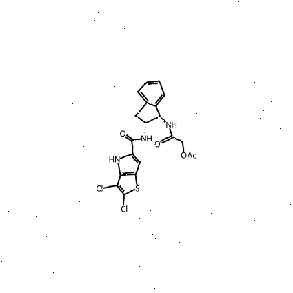 CC(=O)OCC(=O)N[C@@H]1c2ccccc2C[C@H]1NC(=O)c1cc2sc(Cl)c(Cl)c2[nH]1